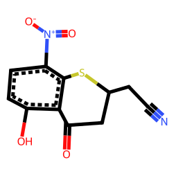 N#CCC1CC(=O)c2c(O)ccc([N+](=O)[O-])c2S1